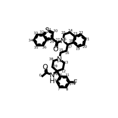 CC(=O)NC1(c2cccc(F)c2)CCN(CCC2c3ccccc3CCN2C(=O)c2csc3ccccc23)CC1